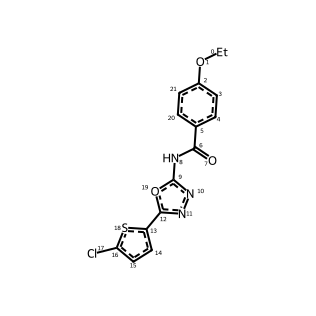 CCOc1ccc(C(=O)Nc2nnc(-c3ccc(Cl)s3)o2)cc1